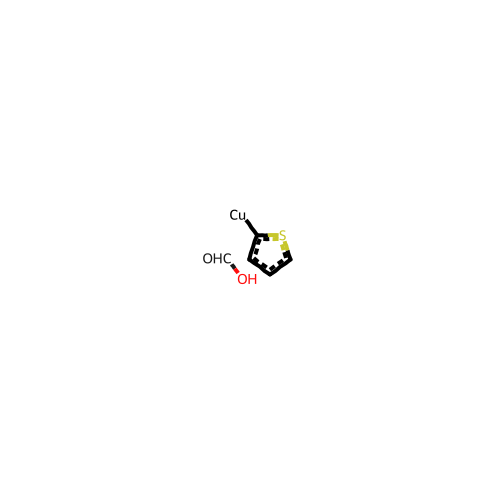 O=CO.[Cu][c]1cccs1